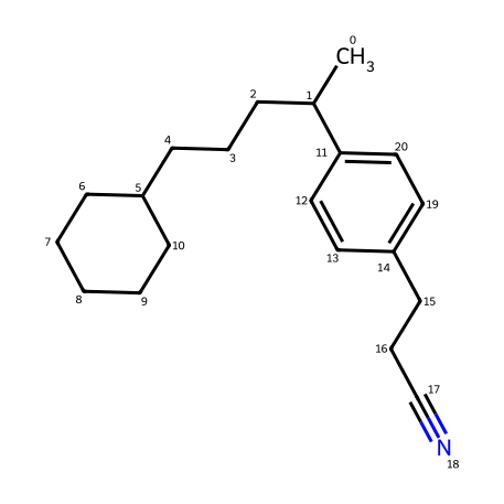 CC(CCCC1CCCCC1)c1ccc(CCC#N)cc1